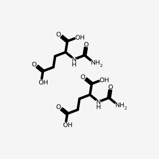 NC(=O)NC(CCC(=O)O)C(=O)O.NC(=O)NC(CCC(=O)O)C(=O)O